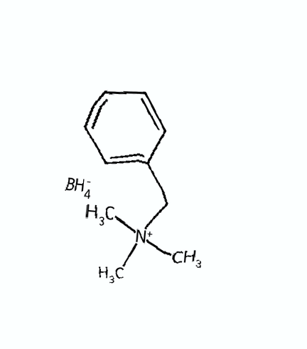 C[N+](C)(C)Cc1ccccc1.[BH4-]